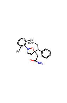 CCCCCCCCCCCC(c1ccccc1)C1(CC(N)=O)C=CN(c2c(C(C)C)cccc2C(C)C)O1